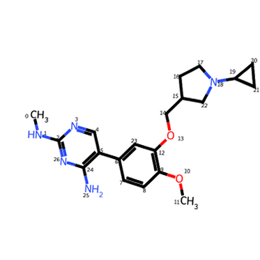 CNc1ncc(-c2ccc(OC)c(OCC3CCN(C4CC4)C3)c2)c(N)n1